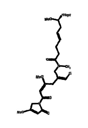 CCCCCCC[C@@H](C/C=C/CCC(=O)N(C)C/C(=C\Cl)C/C(=C\C(=O)N1CC(OC)=CC1=O)OC)OC